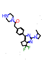 CC1CCN1c1nc(-c2ccc(CC(=O)N3CCNCC3)cc2)c2c(n1)C(F)(F)CC2